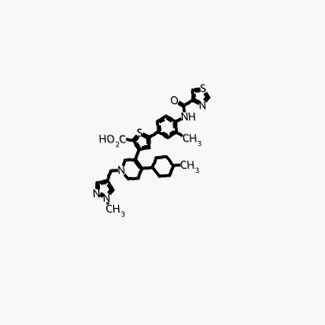 Cc1cc(-c2cc(C3=C(C4CCC(C)CC4)CCN(Cc4cnn(C)c4)C3)c(C(=O)O)s2)ccc1NC(=O)c1cscn1